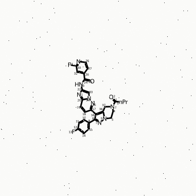 CCCC(=O)N1CCn2nc(-c3ccc(F)cc3)c(-c3ccc4nc(NC(=O)c5ccnc(F)c5)cn4n3)c2C1